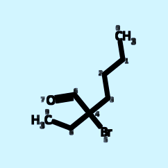 CCCCC(Br)(C=O)CC